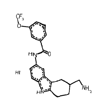 I.NCC1CCc2[nH]c3ccc(NC(=O)c4cccc(OC(F)(F)F)c4)cc3c2C1